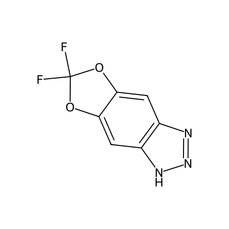 FC1(F)Oc2cc3nn[nH]c3cc2O1